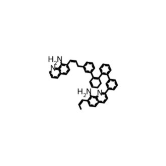 C/C=C\c1ccc2ccc(-c3cccc(-c4ccccc4C4=C(c5cccc(C/C=C\c6ccc7cccnc7c6N)c5)C=CCC4)c3)nc2c1N